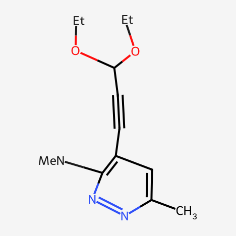 CCOC(C#Cc1cc(C)nnc1NC)OCC